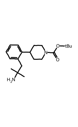 CC(C)(N)Cc1ccccc1C1CCN(C(=O)OC(C)(C)C)CC1